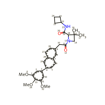 COc1cc(-c2ccc3cc(CC(=O)N4CC(C)(C)C4C(=O)NC4CCC4)ccc3c2)cc(OC)c1OC